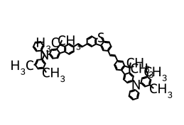 Cc1cc(C)cc(N(c2ccccc2)c2ccc3c(c2)C(C)(C)c2cc(/C=C/c4ccc5sc6ccc(/C=C/c7ccc8c(c7)C(C)(C)c7cc(N(c9ccccc9)c9cc(C)cc(C)c9)ccc7-8)cc6c5c4)ccc2-3)c1